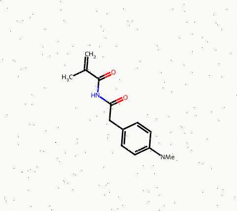 C=C(C)C(=O)NC(=O)Cc1ccc(NC)cc1